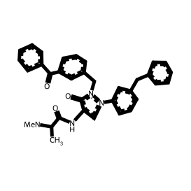 CNC(C)C(=O)Nc1cn(-c2cccc(Cc3ccccc3)c2)n(Cc2cccc(C(=O)c3ccccc3)c2)c1=O